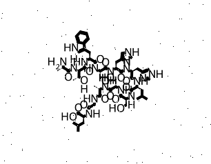 CC(C)C[C@H](NC(=O)CNC(=O)[C@H](C)NC(=O)[C@H](CO)NC(=O)[C@H](CO)NC(=O)[C@H](CC(C)C)NC(=O)[C@H](Cc1c[nH]cn1)NC(=O)[C@H](Cc1c[nH]cn1)NC(=O)[C@H](CO)NC(=O)[C@H](Cc1c[nH]c2ccccc12)NC(=O)[C@@H](NC(=O)[C@H](C)N)[C@@H](C)O)C(=O)O